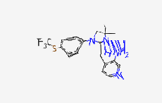 CC1(C)CN(c2ccc(SC(F)(F)F)cc2)C(Cc2ccncc2N)N1